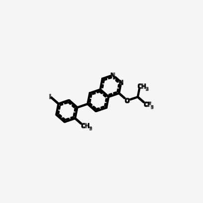 Cc1ccc(I)cc1-c1ccc2c(OC(C)C(F)(F)F)nncc2c1